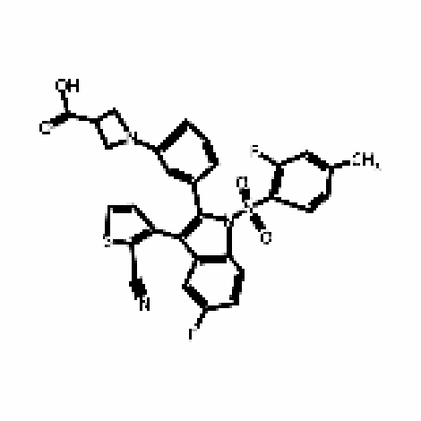 Cc1ccc(S(=O)(=O)n2c(-c3cccc(N4CC(C(=O)O)C4)c3)c(-c3ccsc3C#N)c3cc(F)ccc32)c(F)c1